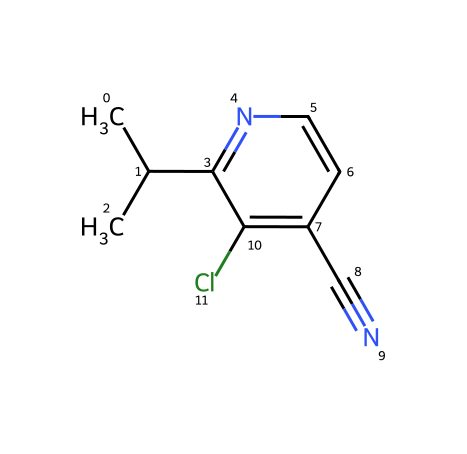 CC(C)c1nccc(C#N)c1Cl